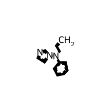 C=CCN(c1ccccc1)n1ccnc1